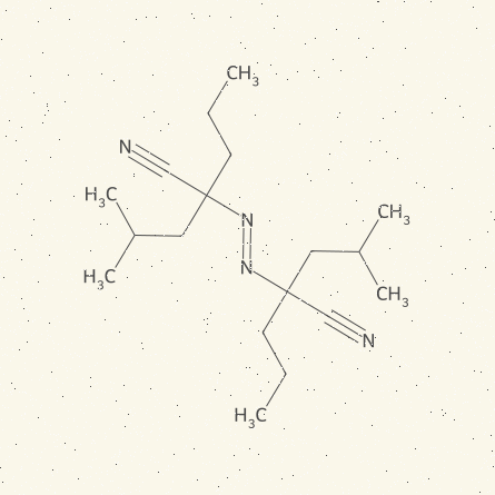 CCCC(C#N)(CC(C)C)/N=N/C(C#N)(CCC)CC(C)C